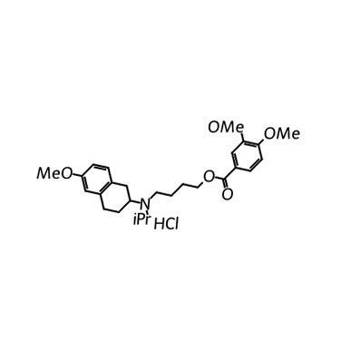 COc1ccc2c(c1)CCC(N(CCCCOC(=O)c1ccc(OC)c(OC)c1)C(C)C)C2.Cl